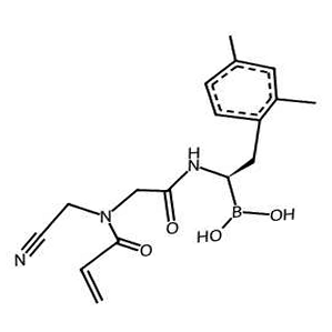 C=CC(=O)N(CC#N)CC(=O)N[C@@H](Cc1ccc(C)cc1C)B(O)O